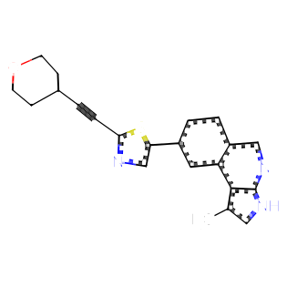 Cc1c[nH]c2ncc3ccc(-c4cnc(C#CC5CCOCC5)s4)cc3c12